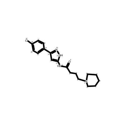 O=C(CCCN1CCCCC1)Nc1cc(-c2ccc(Cl)cc2)n[nH]1